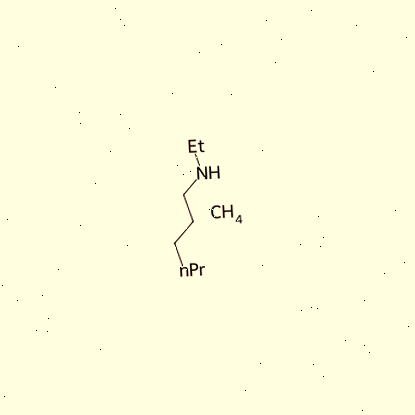 C.CCCCCCNCC